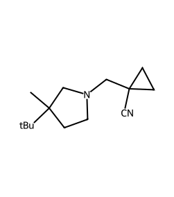 CC(C)(C)C1(C)CCN(CC2(C#N)CC2)C1